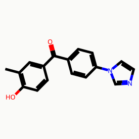 Cc1cc(C(=O)c2ccc(-n3ccnc3)cc2)ccc1O